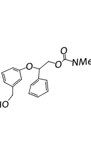 CNC(=O)OCC(Oc1cccc(CO)c1)c1ccccc1